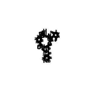 Cc1cccc(C)c1-c1cc2nc(n1)NS(=O)(=O)c1cccc(c1)C(=O)N1CCN(Cc3ccncc3)CC(C1)O2